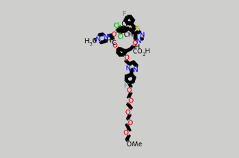 COCCOCCOCCOCCOCCOC[C@]1(F)CC=C(c2nccc(COc3ccc4cc3C[C@H](C(=O)O)Oc3ncnc5sc(-c6ccc(F)cc6)c(c35)-c3c(C)c(Cl)c(c(Cl)c3C)O[C@H](CN3CCN(C)CC3)CO4)n2)CC1